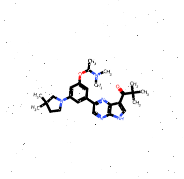 CC(Oc1cc(-c2cnc3[nH]cc(C(=O)C(C)(C)C)c3n2)cc(N2CCC(C)(C)C2)c1)N(C)C